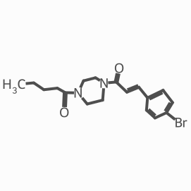 CCCCC(=O)N1CCN(C(=O)C=Cc2ccc(Br)cc2)CC1